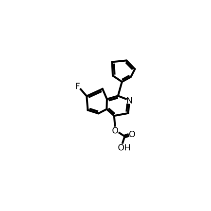 O=C(O)Oc1cnc(-c2ccccc2)c2cc(F)ccc12